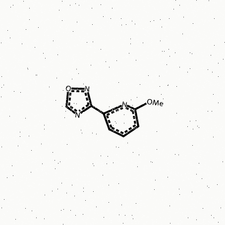 COc1cccc(-c2ncon2)n1